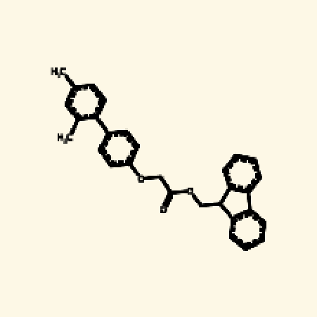 Cc1ccc(-c2ccc(O[CH]C(=O)OCC3c4ccccc4-c4ccccc43)cc2)c(C)c1